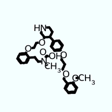 COc1ccccc1COCCCOc1ccc(C2CCNCC2OCCOc2ccccc2CCN(C)C(=O)O)cc1